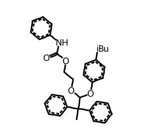 CCC(C)c1ccc(OC(OCCOC(=O)Nc2ccccc2)C(C)(c2ccccc2)c2ccccc2)cc1